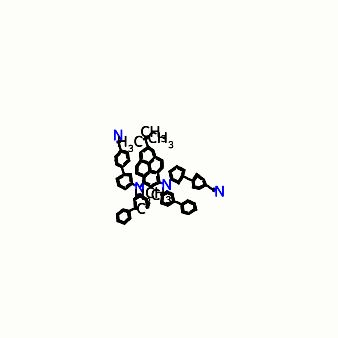 Cc1ccc(-c2ccccc2)cc1N(c1cccc(-c2ccc(C#N)cc2)c1)c1cc(N(c2cccc(-c3ccc(C#N)cc3)c2)c2cc(-c3ccccc3)ccc2C)c2ccc3cc(C(C)(C)C)cc4ccc1c2c43